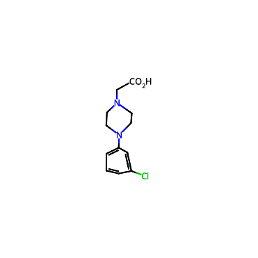 O=C(O)CN1CCN(c2cccc(Cl)c2)CC1